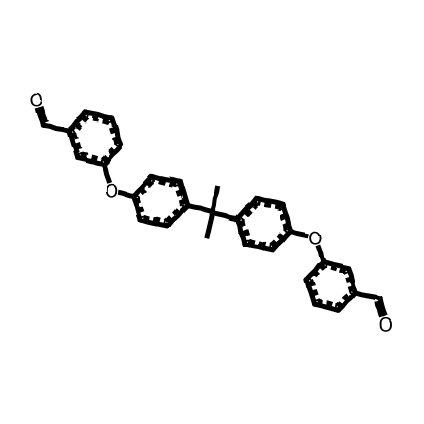 CC(C)(c1ccc(Oc2cccc(C=O)c2)cc1)c1ccc(Oc2cccc(C=O)c2)cc1